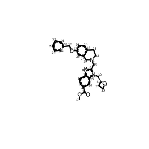 COC(=O)c1ccc2nc(CN3CCc4ccc(OCc5ccccn5)cc4C3)n(C[C@@H]3CCO3)c2c1